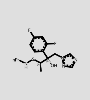 CCCNS[C@H](C)[C@](O)(Cn1cncn1)c1ccc(F)cc1F